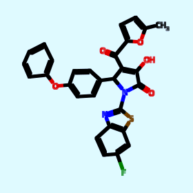 Cc1ccc(C(=O)C2=C(O)C(=O)N(c3nc4ccc(F)cc4s3)C2c2ccc(Oc3ccccc3)cc2)o1